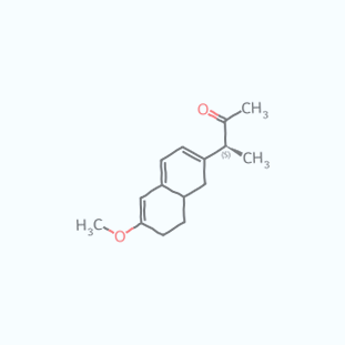 COC1=CC2=CC=C([C@H](C)C(C)=O)CC2CC1